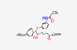 CCCCCCCCCc1ccc(C(Sc2cccc(NC(=O)CC#N)c2)C(O)CCCC(=O)OC)cc1